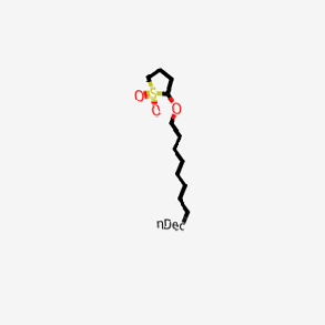 CCCCCCCCCCCCCCCCCCOC1CCCS1(=O)=O